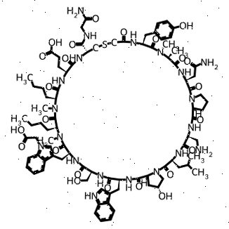 CCCC[C@H]1C(=O)N(C)[C@@H](CCCC)C(=O)N[C@@H](CCC(=O)O)C(=O)N[C@H](C(=O)NCC(N)=O)CSCC(=O)N[C@@H](Cc2ccc(O)cc2)C(=O)N(C)[C@@H](C)C(=O)N[C@@H](CC(N)=O)C(=O)N2CCC[C@H]2C(=O)N[C@@H](CN)C(=O)N[C@@H](CC(C)C)C(=O)N2C[C@H](O)C[C@H]2C(=O)N[C@@H](Cc2c[nH]c3ccccc23)C(=O)N[C@@H](CO)C(=O)N[C@@H](Cc2cn(CC(=O)O)c3ccccc23)C(=O)N1C